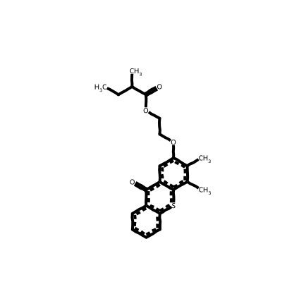 CCC(C)C(=O)OCCOc1cc2c(=O)c3ccccc3sc2c(C)c1C